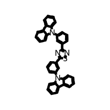 c1cc(-c2nsc(-c3cccc(-n4c5ccccc5c5ccccc54)c3)n2)cc(-n2c3ccccc3c3ccccc32)c1